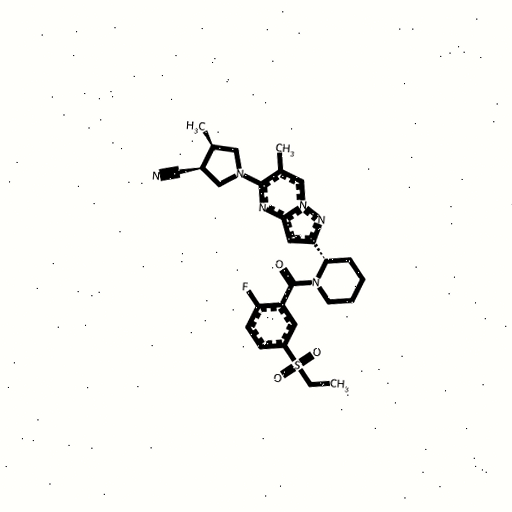 CCS(=O)(=O)c1ccc(F)c(C(=O)N2CCCC[C@H]2c2cc3nc(N4C[C@@H](C#N)[C@@H](C)C4)c(C)cn3n2)c1